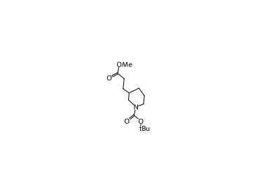 COC(=O)CCC1CCCN(C(=O)OC(C)(C)C)C1